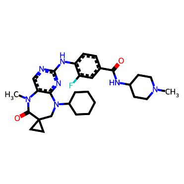 CN1CCC(NC(=O)c2ccc(Nc3ncc4c(n3)N(C3CCCCC3)CC3(CC3)C(=O)N4C)c(F)c2)CC1